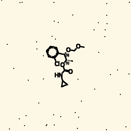 COCO[C@@H](c1ccccc1Cl)[C@H](C)OC(=O)NC1CC1